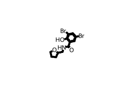 O=C(NCC1CCCO1)c1cc(Br)cc(Br)c1O